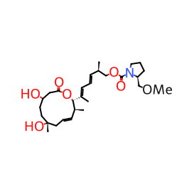 COC[C@@H]1CCCN1C(=O)OC[C@H](C)/C=C/C=C(\C)[C@H]1OC(=O)C[C@H](O)CC[C@@](C)(O)C/C=C/[C@@H]1C